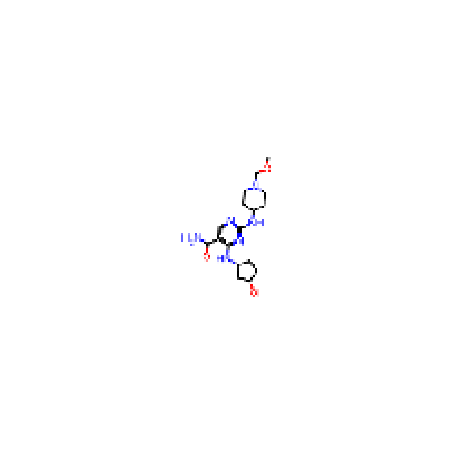 COCN1CCC(Nc2ncc(C(N)=O)c(N[C@H]3CC[C@@H](O)C3)n2)CC1